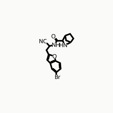 N#CC(Cc1cc2cc(Br)ccc2o1)NC(=O)C1NC2CCC1C2